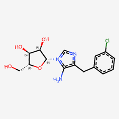 Nc1c([CH]c2cccc(Cl)c2)ncn1[C@@H]1O[C@H](CO)[C@@H](O)[C@H]1O